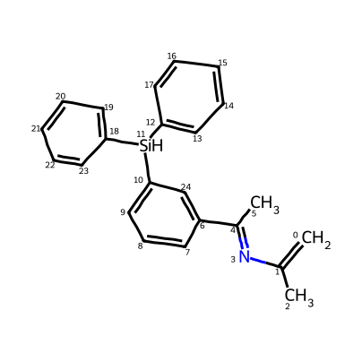 C=C(C)/N=C(\C)c1cccc([SiH](c2ccccc2)c2ccccc2)c1